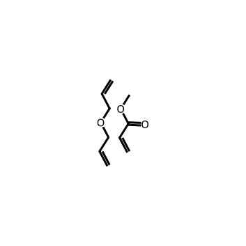 C=CC(=O)OC.C=CCOCC=C